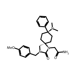 COc1ccc(CN2C[C@]3(CC[C@](c4ccccc4)(N(C)C)CC3)N(CC(N)=O)C2=O)cc1